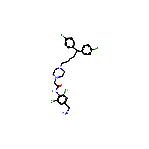 NCc1cc(Cl)c(NC(=O)CN2CCN(CCCCC(c3ccc(F)cc3)c3ccc(F)cc3)CC2)c(Cl)c1